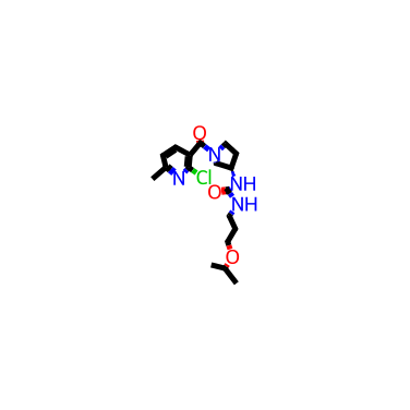 Cc1ccc(C(=O)N2CC[C@@H](NC(=O)NCCCOC(C)C)C2)c(Cl)n1